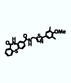 COc1c(C)cc(-c2ncc(CNC(=O)c3ccc4c(c3)NC(=O)c3ccccc3S4)s2)cc1C